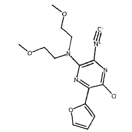 [C-]#[N+]c1nc(Cl)c(-c2ccco2)nc1N(CCOC)CCOC